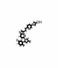 OC1CN(c2ccc(/C=C/c3cnc4ccc(N5C[C@@H](F)C[C@@H]5c5cc(F)ccc5F)nn34)nc2)C1